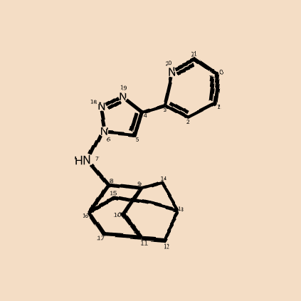 c1ccc(-c2cn(NC3C4CC5CC(C4)CC3C5)nn2)nc1